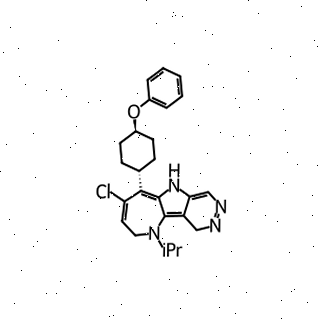 CC(C)N1CC=C(Cl)C([C@H]2CC[C@H](Oc3ccccc3)CC2)=c2[nH]c3c(c21)CN=NC=3